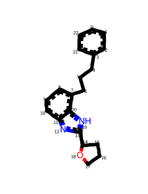 c1ccc(CCCc2cccc3nc(C4CCCO4)[nH]c23)cc1